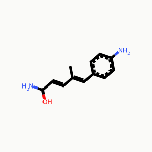 CC(/C=C/C(N)O)=C\c1ccc(N)cc1